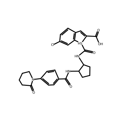 O=C(O)C1=Cc2ccc(Cl)cc2[SH]1C(=O)NC1CCCC1NC(=O)c1ccc(N2CCCCC2=O)cc1